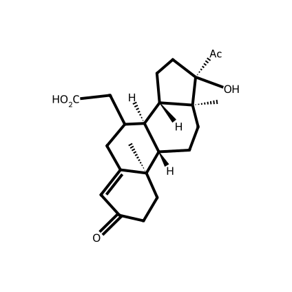 CC(=O)[C@@]1(O)CC[C@H]2[C@@H]3C(CC(=O)O)CC4=CC(=O)CC[C@]4(C)[C@H]3CC[C@@]21C